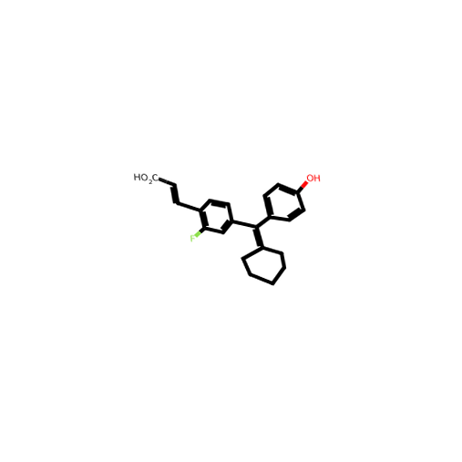 O=C(O)C=Cc1ccc(C(=C2CCCCC2)c2ccc(O)cc2)cc1F